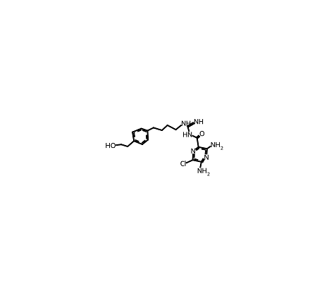 N=C(NCCCCc1ccc(CCO)cc1)NC(=O)c1nc(Cl)c(N)nc1N